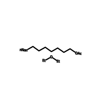 CCCCCCCCCCCCCCCCOC(C)=O.CCOCC